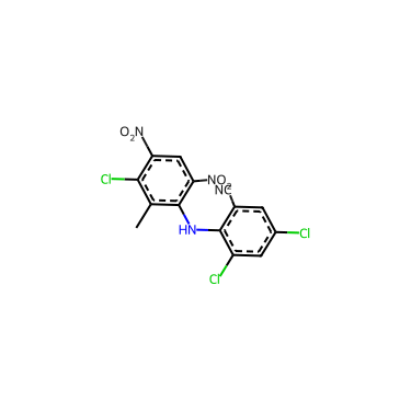 Cc1c(Cl)c([N+](=O)[O-])cc([N+](=O)[O-])c1Nc1c(Cl)cc(Cl)cc1C#N